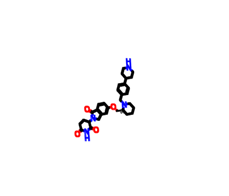 O=C1CCC(N2Cc3cc(OC[C@H]4CCCCN4Cc4ccc(C5CCNCC5)cc4)ccc3C2=O)C(=O)N1